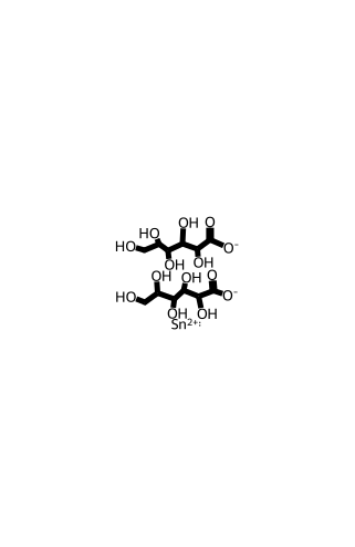 O=C([O-])C(O)C(O)C(O)C(O)CO.O=C([O-])C(O)C(O)C(O)C(O)CO.[Sn+2]